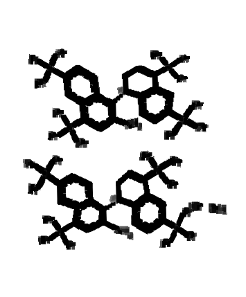 Br.Br.CC(C)[Si](C1=CC[C@@H](c2c(N)cc([Si](C(C)C)(C(C)C)C(C)C)c3cc([Si](C(C)C)(C(C)C)C(C)C)ccc23)c2ccc([Si](C(C)C)(C(C)C)C(C)C)cc21)(C(C)C)C(C)C.CC(C)[Si](C1=CC[C@@H](c2c(N)cc([Si](C(C)C)(C(C)C)C(C)C)c3cc([Si](C(C)C)(C(C)C)C(C)C)ccc23)c2ccc([Si](C(C)C)(C(C)C)C(C)C)cc21)(C(C)C)C(C)C